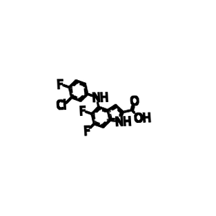 O=C(O)c1cc2c(Nc3ccc(F)c(Cl)c3)c(F)c(F)cc2[nH]1